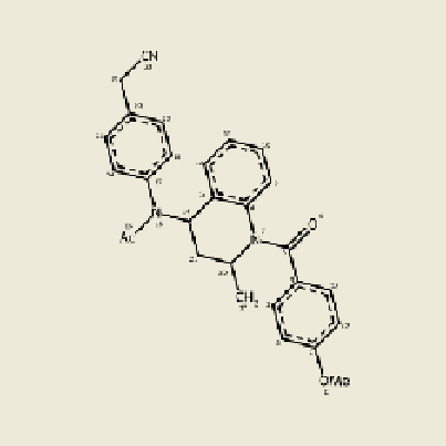 COc1ccc(C(=O)N2c3ccccc3C(N(C(C)=O)c3ccc(CC#N)cc3)CC2C)cc1